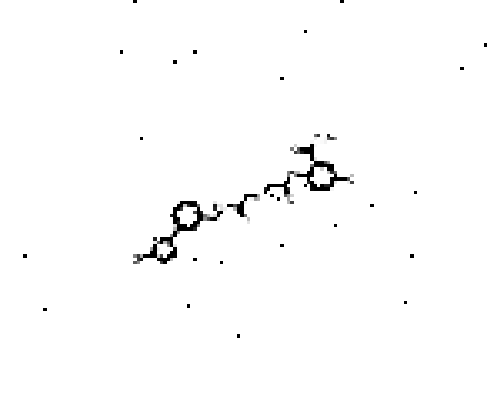 COC(=O)c1cc(Cl)ccc1NC(=O)COCC(=O)NCc1cccc(-c2ccc(Cl)s2)c1